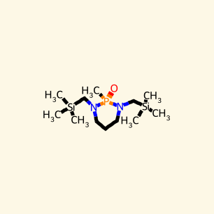 C[Si](C)(C)CN1CCCN(C[Si](C)(C)C)P1(C)=O